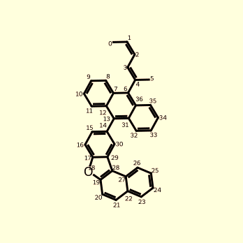 C/C=C\C=C(/C)c1c2ccccc2c(-c2ccc3oc4ccc5ccccc5c4c3c2)c2ccccc12